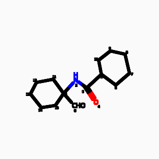 O=CC1(NC(=O)C2CCCCC2)CCCCC1